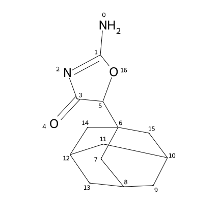 NC1=NC(=O)C(C23CC4CC(CC(C4)C2)C3)O1